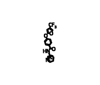 O=C(NC1CC2CCN(CC2)C1)c1ccc(Oc2cc(C(F)(F)F)co2)cc1